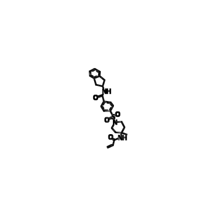 C=CC(=O)NC1(C)CCN(S(=O)(=O)c2ccc(C(=O)NC3Cc4ccccc4C3)cc2)CC1